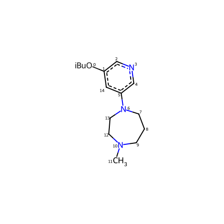 CC(C)COc1cncc(N2CCCN(C)CC2)c1